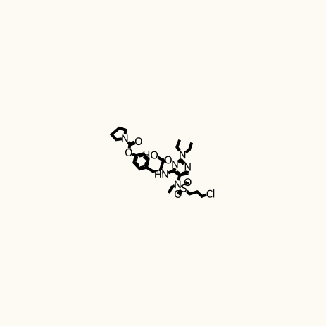 CCN(CC)c1ncc(N(CC)S(=O)(=O)CCCCl)c(N[C@@H](Cc2ccc(OC(=O)N3CCCC3)cc2)C(=O)O)n1